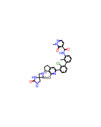 COc1nc(-c2cccc(-c3cccc(NC(=O)c4ccnn(C)c4=O)c3C)c2Cl)cc2c1[C@@H](N1CC3(CNC(=O)N3)C1)CC2